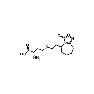 N[C@@H](CCSCCC1CCCCc2noc(=O)n21)C(=O)O